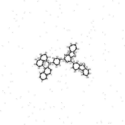 c1ccc2c3c(ccc2c1)N(c1ccc(-c2nc(-c4ccc5c(c4)oc4ccccc45)c4sc5ccccc5c4n2)cc1)c1cccc2cccc-3c12